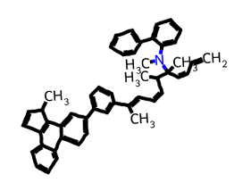 C=C/C=C\C(C)(C(C)/C=C\C=C(/C)c1cccc(-c2ccc3c(c2)c2c(c4ccccc43)C=CC2C)c1)N(C)c1ccccc1-c1ccccc1